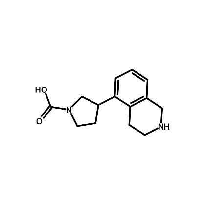 O=C(O)N1CCC(c2cccc3c2CCNC3)C1